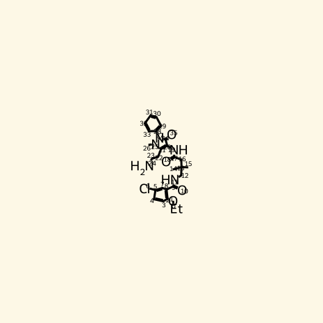 CCOc1ccc(Cl)cc1C(=O)NCC(C)(C)CC(=O)Nc1c(CCN)n(C)n(-c2ccccc2)c1=O